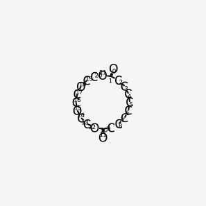 O=C1CCCCCCCCC(=O)OCCOCCOCCO1